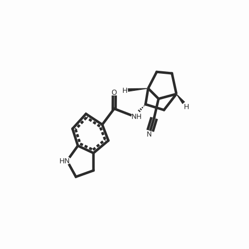 N#CC1[C@@H]2CC[C@H]1[C@@H](NC(=O)c1ccc3c(c1)CCN3)C2